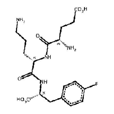 NCCC[C@H](NC(=O)[C@@H](N)CCC(=O)O)C(=O)N[C@H](Cc1ccc(F)cc1)C(=O)O